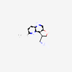 COc1ccc2ncc3c(c2n1)C(CN)CO3